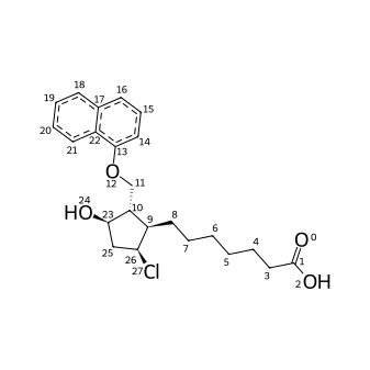 O=C(O)CCCCCC[C@@H]1[C@@H](COc2cccc3ccccc23)[C@H](O)C[C@@H]1Cl